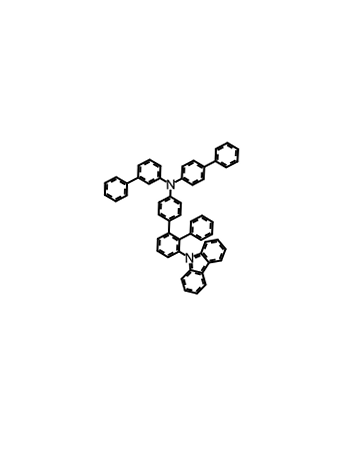 c1ccc(-c2ccc(N(c3ccc(-c4cccc(-n5c6ccccc6c6ccccc65)c4-c4ccccc4)cc3)c3cccc(-c4ccccc4)c3)cc2)cc1